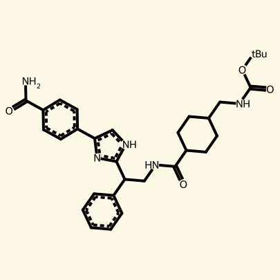 CC(C)(C)OC(=O)NCC1CCC(C(=O)NCC(c2ccccc2)c2nc(-c3ccc(C(N)=O)cc3)c[nH]2)CC1